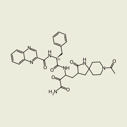 CC(=O)N1CCC2(CC1)CC(CC(NC(=O)[C@H](Cc1ccccc1)NC(=O)c1cnc3ccccc3n1)C(=O)C(N)=O)C(=O)N2